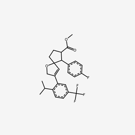 COC(=O)C1CCC2(C=C(c3cc(C(F)(F)F)ccc3C(C)C)CO2)C1c1ccc(F)cc1